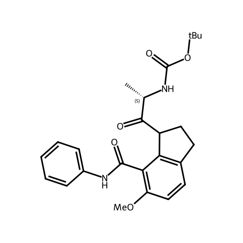 COc1ccc2c(c1C(=O)Nc1ccccc1)C(C(=O)[C@H](C)NC(=O)OC(C)(C)C)CC2